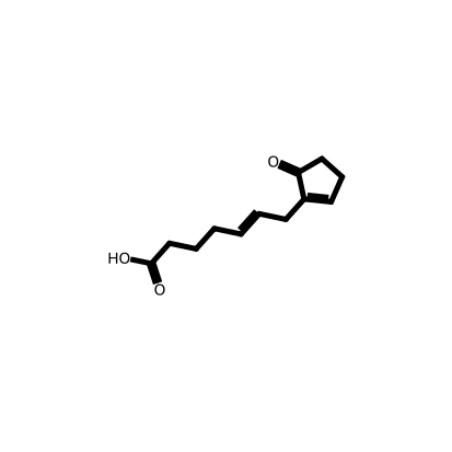 O=C(O)CCC/C=C/CC1=CCCC1=O